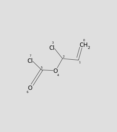 C=CC(Cl)OC(=O)Cl